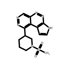 CS(=O)(=O)N1CCCC(c2nncc3nnc4[nH]ccc4c23)C1